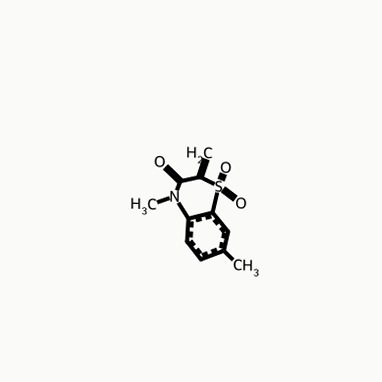 C=C1C(=O)N(C)c2ccc(C)cc2S1(=O)=O